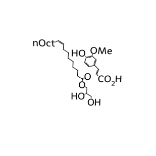 CCCCCCCC/C=C\CCCCCCCC(=O)OCC(O)CO.COc1cc(C=CC(=O)O)ccc1O